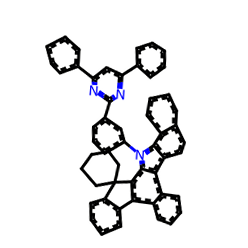 c1ccc(-c2cc(-c3ccccc3)nc(-c3cccc(-n4c5c6c(c7ccccc7c5c5ccc7ccccc7c54)-c4ccccc4C64CCCCC4)c3)n2)cc1